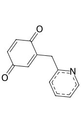 O=C1C=CC(=O)C(Cc2ccccn2)=C1